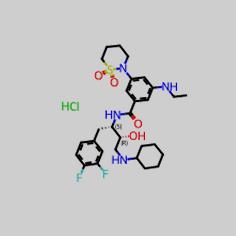 CCNc1cc(C(=O)N[C@@H](Cc2ccc(F)c(F)c2)[C@H](O)CNC2CCCCC2)cc(N2CCCCS2(=O)=O)c1.Cl